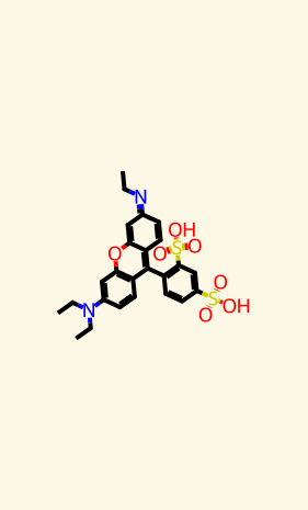 CC/N=c1/ccc2c(-c3ccc(S(=O)(=O)O)cc3S(=O)(=O)O)c3ccc(N(CC)CC)cc3oc-2c1